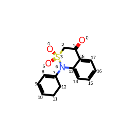 O=C1CS(=O)(=O)N(C2=CC=CCC2)c2ccccc21